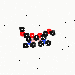 c1ccc(Oc2ccc3c4c5c(cc3c2)N(c2ccccc2)c2ccccc2B5c2cc3c(cc2O4)Oc2c4c(cc5cc(Oc6ccccc6)ccc25)N(c2ccccc2)c2ccccc2B34)cc1